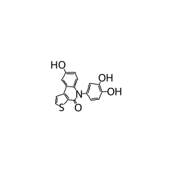 O=c1c2sccc2c2cc(O)ccc2n1-c1ccc(O)c(O)c1